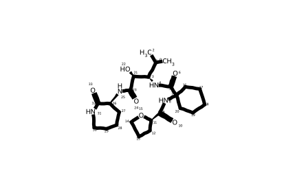 CC(C)[C@H](NC(=O)C1(NC(=O)[C@H]2CCCO2)CCCCC1)[C@H](O)C(=O)N[C@H]1CCCCNC1=O